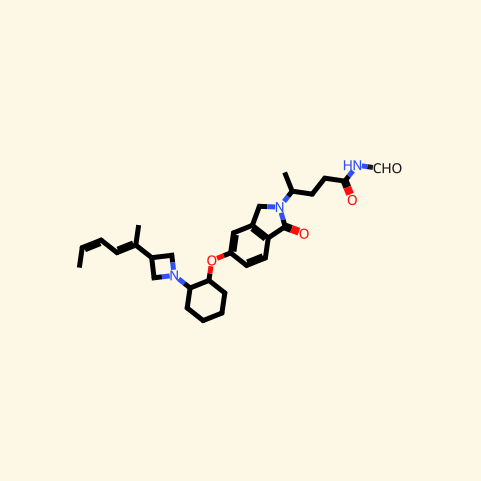 C/C=C\C=C(/C)C1CN(C2CCCCC2Oc2ccc3c(c2)CN(C(C)CCC(=O)NC=O)C3=O)C1